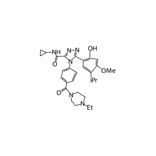 CCN1CCN(C(=O)c2ccc(-n3c(C(=O)NC4CC4)nnc3-c3cc(C(C)C)c(OC)cc3O)cc2)CC1